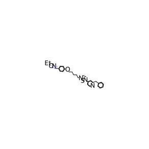 CCO/N=C/c1ccc(OCCCCCN2CCN(c3ccnc(Cc4ccccc4)c3)S2)cc1